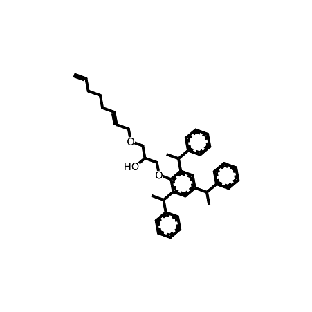 C=CCCC/C=C/COCC(O)COc1c(C(C)c2ccccc2)cc(C(C)c2ccccc2)cc1C(C)c1ccccc1